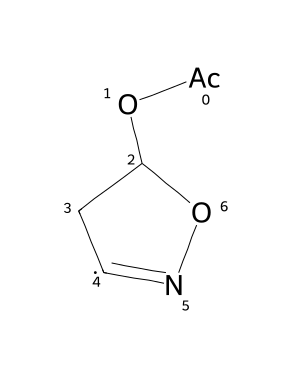 CC(=O)OC1C[C]=NO1